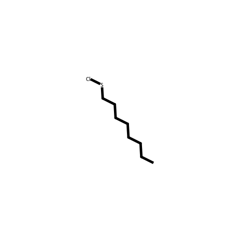 CCCCCCCCSCl